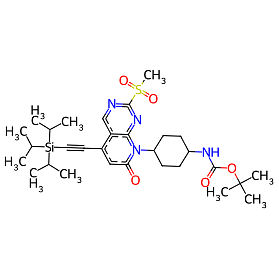 CC(C)[Si](C#Cc1cc(=O)n(C2CCC(NC(=O)OC(C)(C)C)CC2)c2nc(S(C)(=O)=O)ncc12)(C(C)C)C(C)C